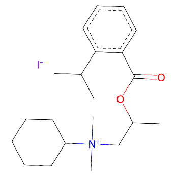 CC(C[N+](C)(C)C1CCCCC1)OC(=O)c1ccccc1C(C)C.[I-]